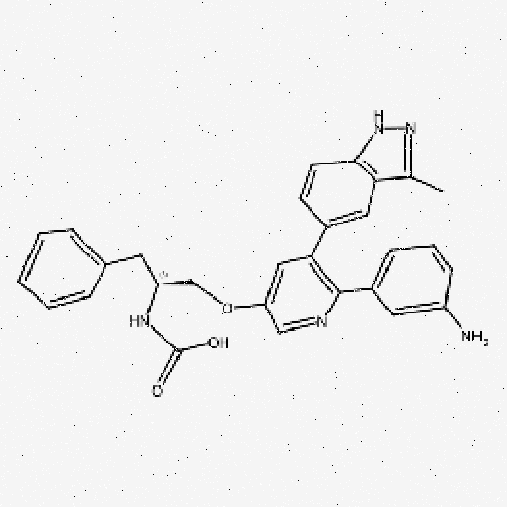 Cc1n[nH]c2ccc(-c3cc(OC[C@H](Cc4ccccc4)NC(=O)O)cnc3-c3cccc(N)c3)cc12